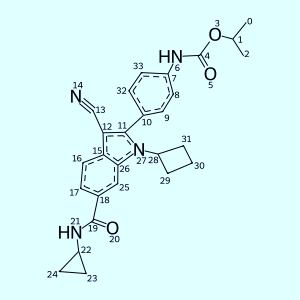 CC(C)OC(=O)Nc1ccc(-c2c(C#N)c3ccc(C(=O)NC4CC4)cc3n2C2CCC2)cc1